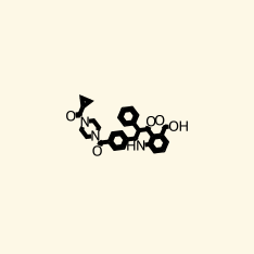 O=C(O)c1cccc2c1C(=O)C(c1ccccc1)C(c1ccc(C(=O)N3CCN(C(=O)C4CC4)CC3)cc1)N2